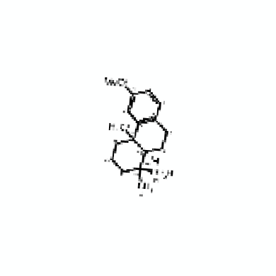 COc1ccc2c(c1)C1(C)CCC[C@](C)(C(=O)O)[C@@H]1CC2